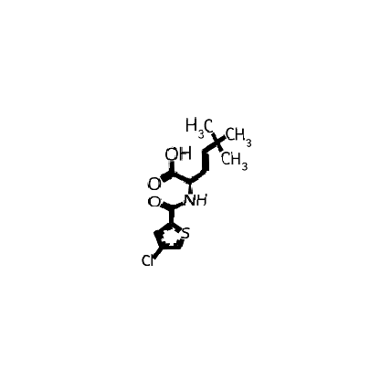 CC(C)(C)/C=C/[C@@H](NC(=O)c1cc(Cl)cs1)C(=O)O